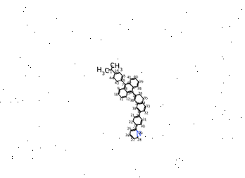 CC(C)C1=CC=C(C2=c3ccccc3=C(C3=Cc4cc(C5=CCC(c6ccccn6)C=C5)ccc4CC3)C3C=CC=CC23)CC1